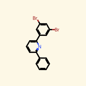 Brc1cc(Br)cc(-c2cccc(-c3ccccc3)n2)c1